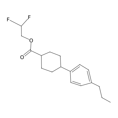 CCCc1ccc(C2CCC(C(=O)OCC(F)F)CC2)cc1